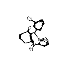 O=C1CCCC2=C1C(c1cccc(Cl)c1)n1nccc1N2